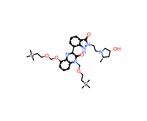 C[C@@H]1C[C@@H](O)CN1CCn1[nH]c2c(-c3nc4c(OCOCC[Si](C)(C)C)cccc4n(COCC[Si](C)(C)C)c3=O)cccc2c1=O